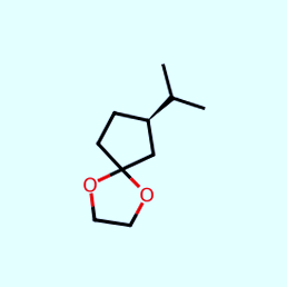 CC(C)[C@@H]1CCC2(C1)OCCO2